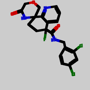 O=C1COCC2(CCC(F)(C(=O)NCc3ccc(Cl)cc3Cl)c3cccnc32)N1